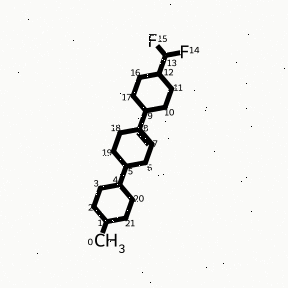 CC1CCC(C2CC=C(C3CCC(C(F)F)CC3)CC2)CC1